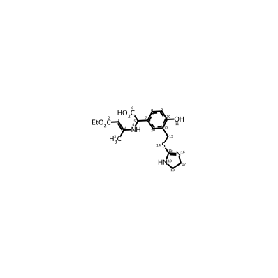 CCOC(=O)C=C(C)NC(C(=O)O)c1ccc(O)c(CSC2=NCCN2)c1